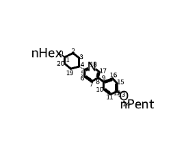 CCCCCC[C@H]1CC[C@H](c2ccc(-c3ccc(OCCCCC)cc3)cn2)CC1